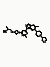 Cc1nc(N2CC(OCC(C)O)C2)cc(-n2ncc3cc(C)c(C4CCN(C5CCOC5)CC4)cc32)n1